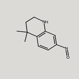 CC1(C)CCNc2cc(N=O)ccc21